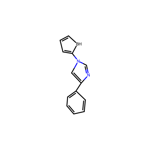 B1C=CC=C1n1cnc(-c2ccccc2)c1